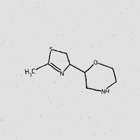 CC1=NC(C2CNCCO2)CS1